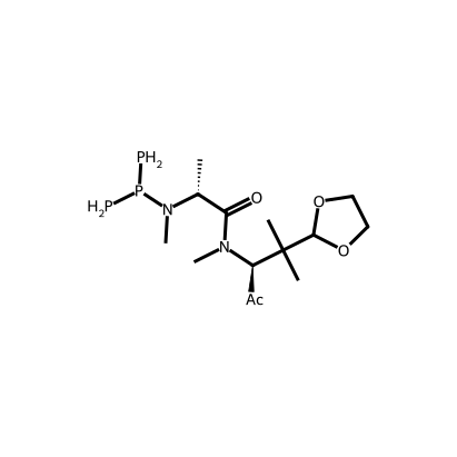 CC(=O)[C@@H](N(C)C(=O)[C@@H](C)N(C)P(P)P)C(C)(C)C1OCCO1